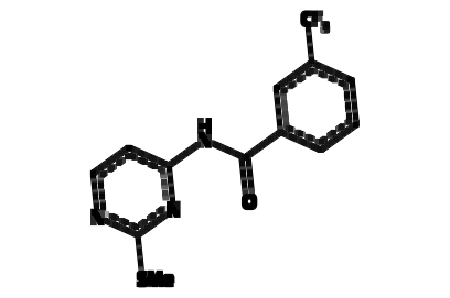 CSc1nccc(NC(=O)c2cccc(C(F)(F)F)c2)n1